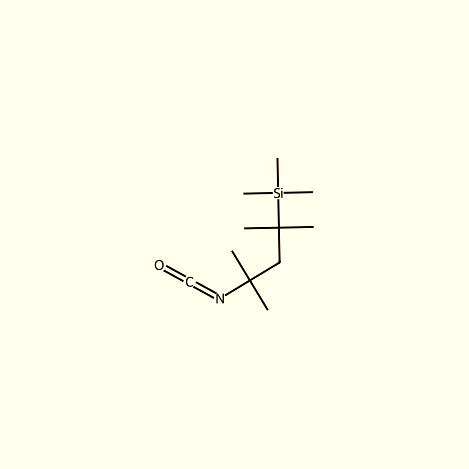 CC(C)(CC(C)(C)[Si](C)(C)C)N=C=O